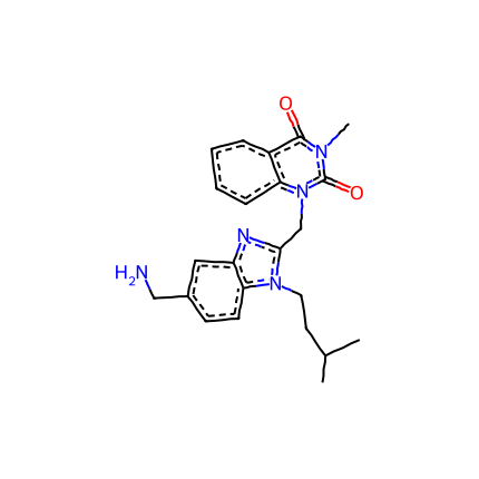 CC(C)CCn1c(Cn2c(=O)n(C)c(=O)c3ccccc32)nc2cc(CN)ccc21